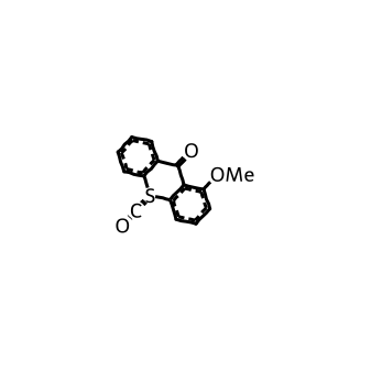 COc1cccc2c1C(=O)c1ccccc1S2=C=O